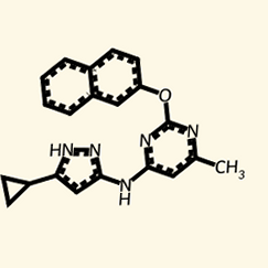 Cc1cc(Nc2cc(C3CC3)[nH]n2)nc(Oc2ccc3ccccc3c2)n1